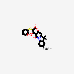 COc1ccc2c(c1)C(C)(C)c1cc3oc(=O)c(Sc4ccccc4)c(O)c3c(=O)n1-2